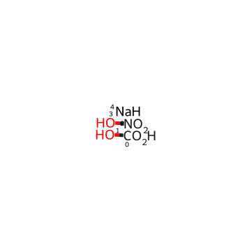 O=C(O)O.O=[N+]([O-])O.[NaH]